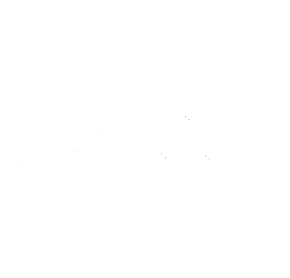 CC1(C)c2ccccc2-c2cc(-c3ccccc3-c3nc(-c4ccccc4)nc(-c4cccc5oc6ccccc6c45)n3)ccc2C1(C)C